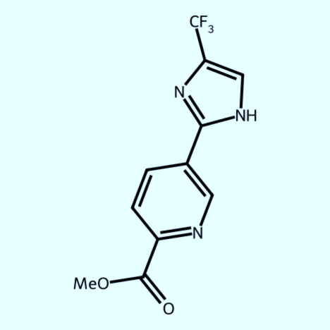 COC(=O)c1ccc(-c2nc(C(F)(F)F)c[nH]2)cn1